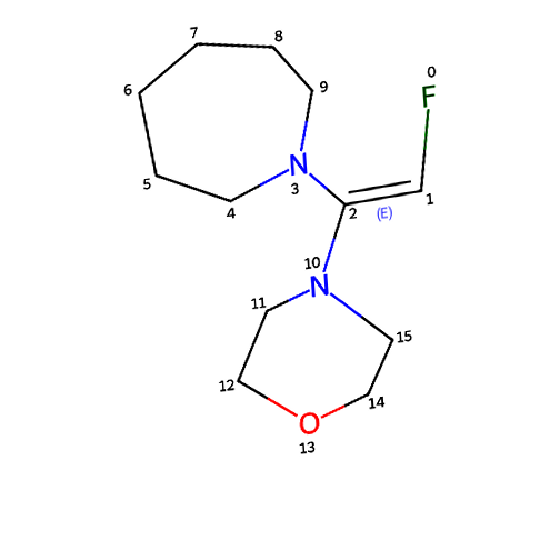 F/C=C(\N1CCCCCC1)N1CCOCC1